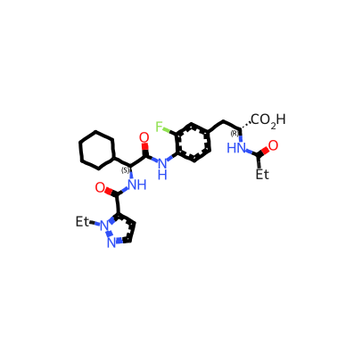 CCC(=O)N[C@H](Cc1ccc(NC(=O)[C@@H](NC(=O)c2ccnn2CC)C2CCCCC2)c(F)c1)C(=O)O